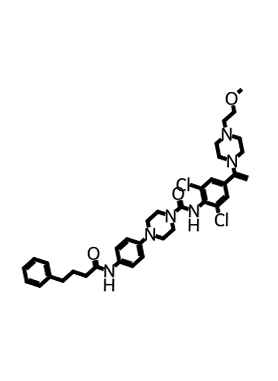 C=C(c1cc(Cl)c(NC(=O)N2CCN(c3ccc(NC(=O)CCCc4ccccc4)cc3)CC2)c(Cl)c1)N1CCN(CCOC)CC1